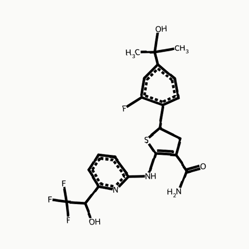 CC(C)(O)c1ccc(C2CC(C(N)=O)=C(Nc3cccc(C(O)C(F)(F)F)n3)S2)c(F)c1